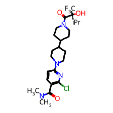 CC(C)[C@@](O)(C(=O)N1CCC(C2CCN(c3ccc(C(=O)N(C)C)c(Cl)n3)CC2)CC1)C(F)(F)F